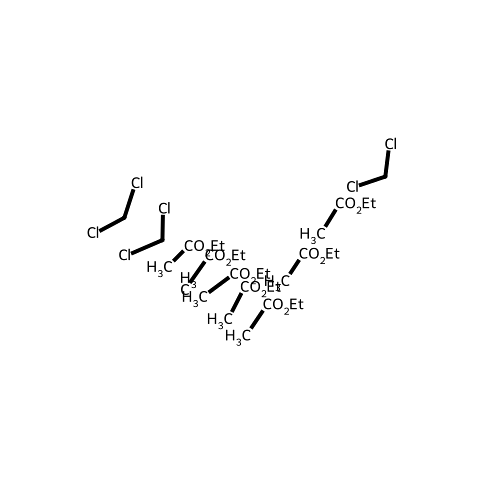 CCOC(C)=O.CCOC(C)=O.CCOC(C)=O.CCOC(C)=O.CCOC(C)=O.CCOC(C)=O.CCOC(C)=O.ClCCl.ClCCl.ClCCl